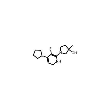 CC1(O)CCN(C2=C(F)C(N3CCCC3)=CCN2)C1